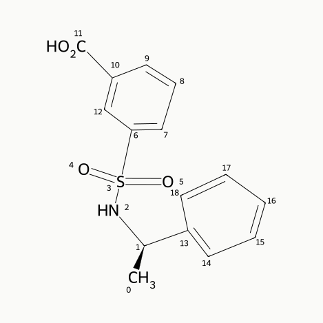 C[C@@H](NS(=O)(=O)c1cccc(C(=O)O)c1)c1ccccc1